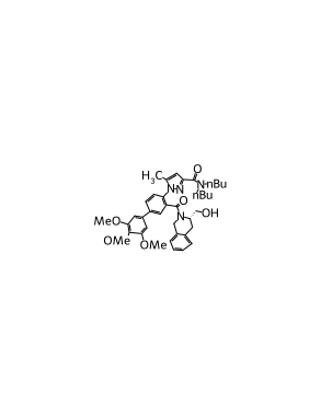 CCCCN(CCCC)C(=O)c1cc(C)n(-c2ccc(-c3cc(OC)c(OC)c(OC)c3)cc2C(=O)N2Cc3ccccc3C[C@H]2CO)n1